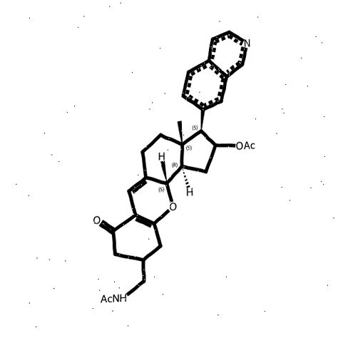 CC(=O)NCC1CC(=O)C2=C(C1)O[C@@H]1C(=C2)CC[C@]2(C)[C@@H](c3ccc4ccncc4c3)C(OC(C)=O)C[C@@H]12